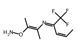 C\C=C/C(=N\C(C)=C(/C)ON)C(F)(F)F